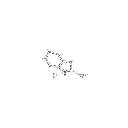 CCOC(=O)c1cc2ccncc2[nH]1.[Sn]